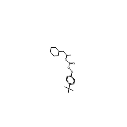 CC(CC1CCCCC1)OS(=O)OOc1ccc(C(C)(C)C)cc1